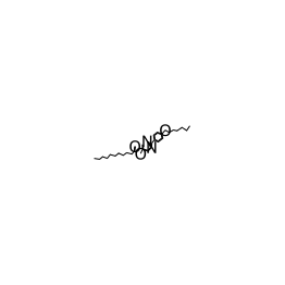 CCCCCCCCCCC(=O)Oc1cnc(-c2ccc(OCCCCCC)cc2)nc1